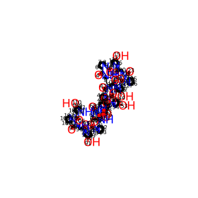 O=C(O)CNC(=O)[C@@H]1CCCN1C(=O)[C@@H]1C[C@@H](O)CN1C(=O)CNC(=O)[C@@H]1CCCN1C(=O)[C@@H]1C[C@@H](O)CN1C(=O)CNC(=O)[C@@H]1CCCN1C(=O)[C@@H]1C[C@@H](O)CN1C(=O)CNC(=O)[C@@H]1CCCN1C(=O)[C@@H]1C[C@@H](O)CN1C(=O)CNC(=O)[C@@H]1CCCN1C(=O)[C@@H]1C[C@@H](O)CN1C(=O)CNC(=O)[C@@H]1CCCN1C(=O)[C@@H]1C[C@@H](O)CN1